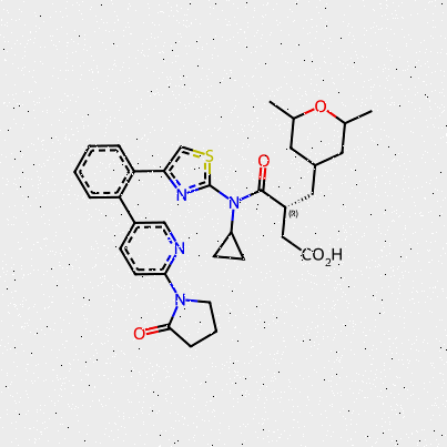 CC1CC(C[C@H](CC(=O)O)C(=O)N(c2nc(-c3ccccc3-c3ccc(N4CCCC4=O)nc3)cs2)C2CC2)CC(C)O1